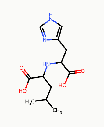 CC(C)CC(NC(Cc1c[nH]cn1)C(=O)O)C(=O)O